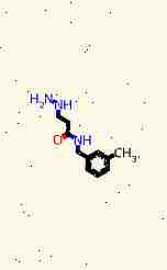 Cc1cccc(CNC(=O)CCNN)c1